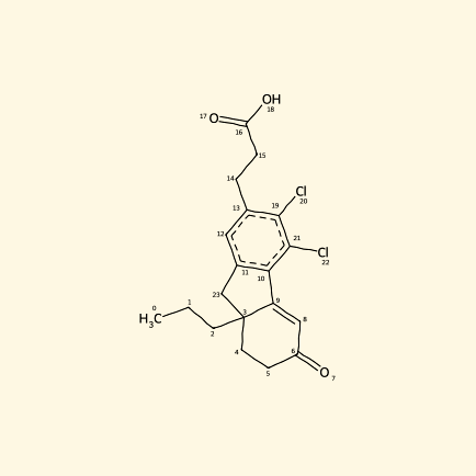 CCCC12CCC(=O)C=C1c1c(cc(CCC(=O)O)c(Cl)c1Cl)C2